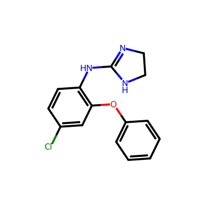 Clc1ccc(NC2=NCCN2)c(Oc2ccccc2)c1